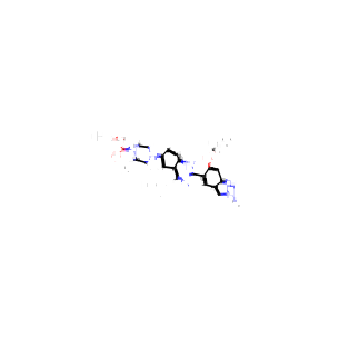 CCOC(=O)c1nc(-c2cc3cn(C)nc3cc2OCOC)nc2ccc(N3CCN(C(=O)OC(C)(C)C)[C@@H](C)C3)cc12